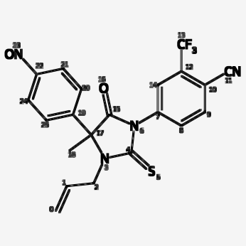 C=CCN1C(=S)N(c2ccc(C#N)c(C(F)(F)F)c2)C(=O)C1(C)c1ccc(N=O)cc1